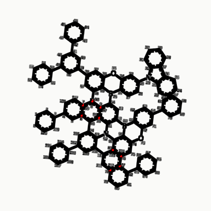 c1ccc(-c2ccc(N3c4cc5c(cc4B4c6ccc(-n7c8ccccc8c8ccccc87)cc6Oc6cc(-c7cc(-c8ccccc8)cc(-c8ccccc8)c7)cc3c64)B3c4ccc(-c6ccccc6)cc4Oc4cc(-c6ccccc6-c6ccccc6)cc(c43)N5c3c(-c4ccccc4)cc(-c4ccccc4)cc3-c3ccccc3)cc2)cc1